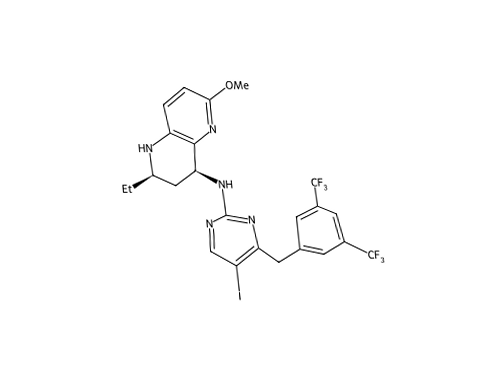 CC[C@@H]1C[C@H](Nc2ncc(I)c(Cc3cc(C(F)(F)F)cc(C(F)(F)F)c3)n2)c2nc(OC)ccc2N1